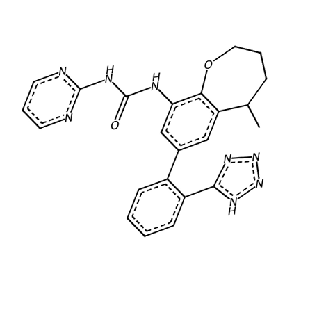 CC1CCCOc2c(NC(=O)Nc3ncccn3)cc(-c3ccccc3-c3nnn[nH]3)cc21